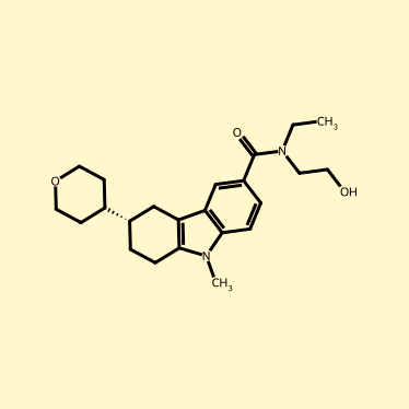 CCN(CCO)C(=O)c1ccc2c(c1)c1c(n2C)CC[C@H](C2CCOCC2)C1